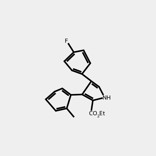 CCOC(=O)c1[nH]cc(-c2ccc(F)cc2)c1-c1ccccc1C